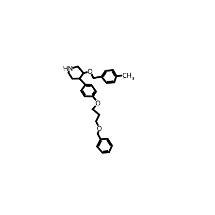 Cc1ccc(COC2CNCCC2c2ccc(OCCCOCc3ccccc3)cc2)cc1